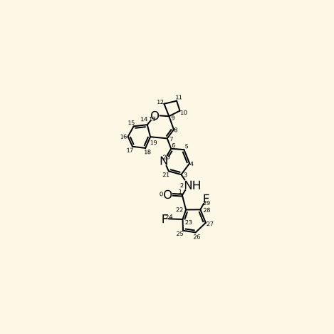 O=C(Nc1ccc(C2=CC3(CCC3)Oc3ccccc32)nc1)c1c(F)cccc1F